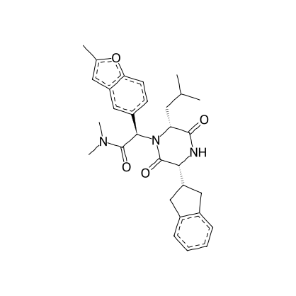 Cc1cc2cc([C@H](C(=O)N(C)C)N3C(=O)[C@@H](C4Cc5ccccc5C4)NC(=O)[C@H]3CC(C)C)ccc2o1